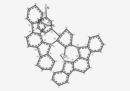 Cn1c2ccccc2c2ccc3c4ccccc4n(-c4ccc(-c5cccc(C#N)c5)c(-n5c6ccccc6c6ccc7c8ccccc8n(C)c7c65)c4C(F)(F)F)c3c21